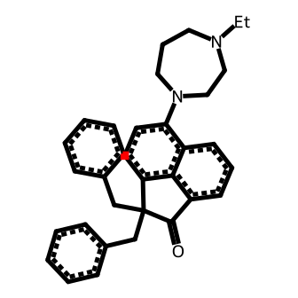 CCN1CCCN(c2ccc3c4c(cccc24)C(=O)C3(Cc2ccccc2)Cc2ccccc2)CC1